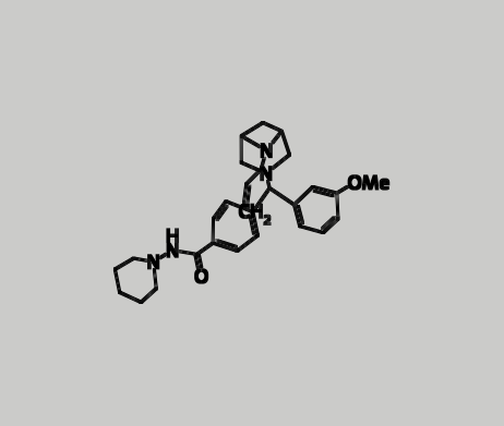 C=CCN1C2CC1CN(C(c1ccc(C(=O)NN3CCCCC3)cc1)c1cccc(OC)c1)C2